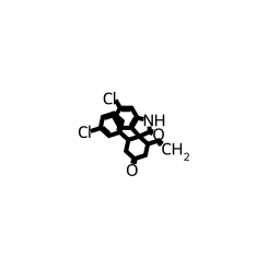 C=CC1CC(=O)CC(c2cccc(Cl)c2)C12C(=O)Nc1cc(Cl)ccc12